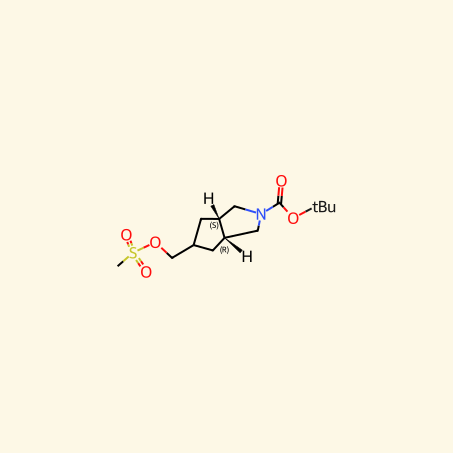 CC(C)(C)OC(=O)N1C[C@H]2CC(COS(C)(=O)=O)C[C@H]2C1